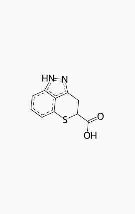 O=C(O)C1Cc2n[nH]c3cccc(c23)S1